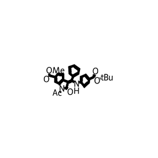 COC(=O)c1ccc2c(c1)N(C(C)=O)C(=O)/C2=C(\Nc1ccc(C(=O)OC(C)(C)C)cc1)c1ccccc1